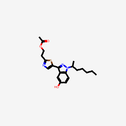 CCCCCC(C)n1nc(-c2cnc(CCOC(C)=O)s2)c2cc(O)ccc21